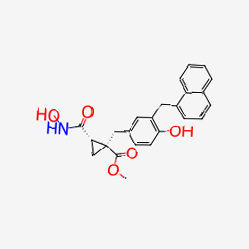 COC(=O)[C@@]1(Cc2ccc(O)c(Cc3cccc4ccccc34)c2)C[C@@H]1C(=O)NO